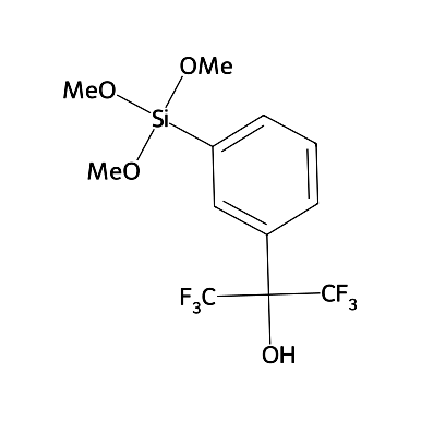 CO[Si](OC)(OC)c1cccc(C(O)(C(F)(F)F)C(F)(F)F)c1